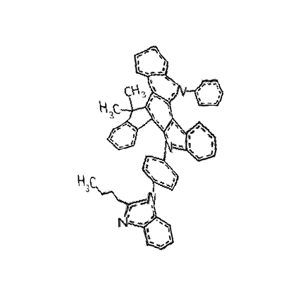 CCCc1nc2ccccc2n1-c1ccc(-n2c3ccccc3c3c2c2c(c4c5ccccc5n(-c5ccccc5)c43)C(C)(C)c3ccccc3-2)cc1